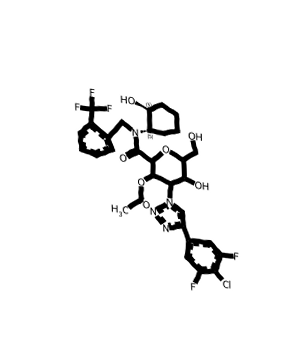 CC(=O)OC1C(C(=O)N(Cc2ccccc2C(F)(F)F)[C@H]2CCCC[C@@H]2O)OC(CO)C(O)C1n1cc(-c2cc(F)c(Cl)c(F)c2)nn1